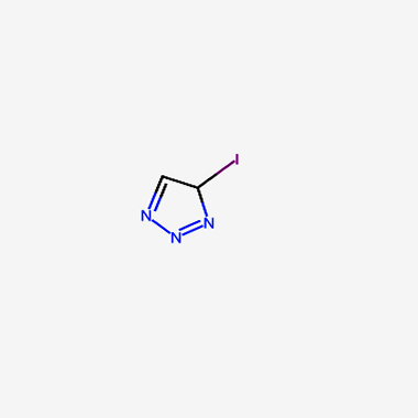 IC1C=NN=N1